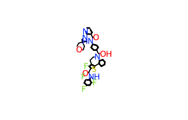 O=C(Nc1ccc(C(O)N2CCc3c(sc(C(=O)Nc4c(F)cc(F)cc4F)c3F)-c3ccccc32)cc1)c1cccnc1N1CC2(CCOCC2)C1